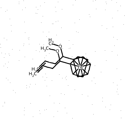 C=CCC(OC)[C]12[CH]3[CH]4[CH]5[CH]1[Fe]45321678[CH]2[CH]1[CH]6[C]7(C(CC=C)OC)[CH]28